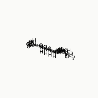 CC(C)CCC[C@@H](C)[C@H]1CC[C@H]2[C@@H]3CC=C4C[C@@H](NCCCNC(=O)CCNC(=O)CCNC(=O)CCCCCNc5ccc([N+](=O)[O-])c6nonc56)CC[C@]4(C)[C@H]3CC[C@]12C